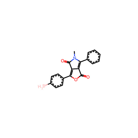 Bc1ccc(C2=C3C(=O)N(C)C(c4ccccc4)=C3C(=O)O2)cc1